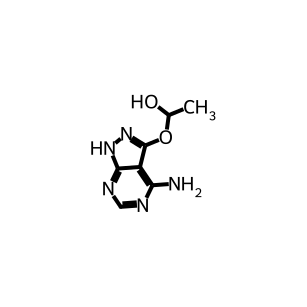 CC(O)Oc1n[nH]c2ncnc(N)c12